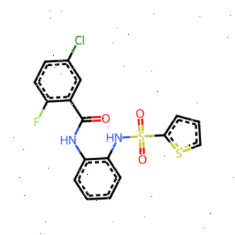 O=C(Nc1ccccc1NS(=O)(=O)c1cccs1)c1cc(Cl)ccc1F